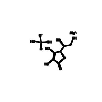 O=C1O[C@H]([C@@H](O)CO)C(O)=C1O.O=P([O-])(O)O.[Mg+]